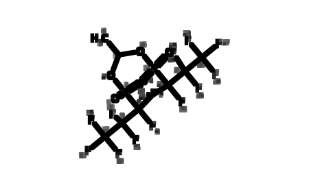 CC(OS(=O)(=O)C(F)(F)C(F)(F)C(F)(F)F)OS(=O)(=O)C(F)(F)C(F)(F)C(F)(F)F